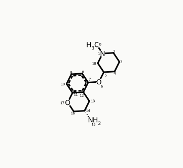 CN1CCCC(Oc2cccc3c2C[C@H](N)CO3)C1